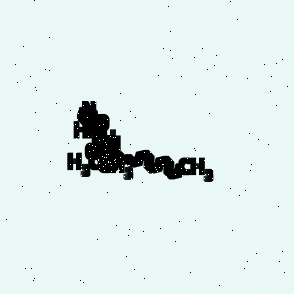 CC/C=C\C/C=C\C/C=C\C/C=C\C/C=C\CCCC(=O)N[C@H](C(=O)NCCNC(=O)c1cccnc1)C(C)C